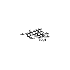 COc1cc(OC)cc(C(=O)N(CCCc2ccccc2)Cc2ccc(-c3cc(OC)c(OC)cc3CC(=O)O)cc2)c1